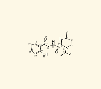 CC1CC[C@@H](C(C)C)[C@H](C(=O)NCC(=O)c2ccccc2O)C1